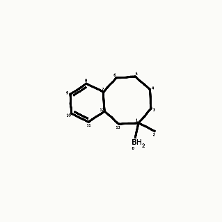 BC1(C)CCCCC2C=CC=CC2C1